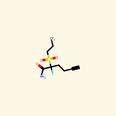 C#CCCC(F)(C(N)=O)S(=O)(=O)CCC(F)(F)F